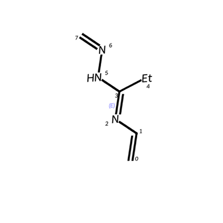 C=C/N=C(\CC)NN=C